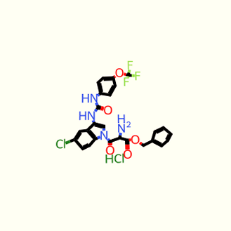 Cl.NC(C(=O)OCc1ccccc1)C(=O)n1cc(NC(=O)Nc2ccc(OC(F)(F)F)cc2)c2cc(Cl)ccc21